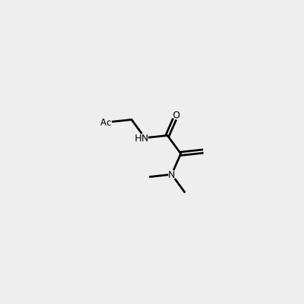 C=C(C(=O)NCC(C)=O)N(C)C